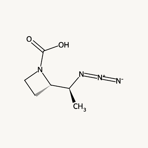 C[C@H](N=[N+]=[N-])[C@@H]1CCN1C(=O)O